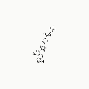 Cn1nc(-c2ccc(C(=O)NCCC(F)(F)F)cc2)nc1Nc1ccc2[nH]ncc2c1C1CC1